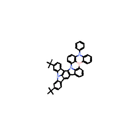 CC(C)(C)c1ccc2c3cc4c5cccc6c5n(c4c4c5ccc(C(C)(C)C)cc5n(c2c1)c34)-c1cccc2c1B6c1ccccc1N2c1ccccc1